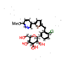 COc1ccc(-c2ccc(Cc3cc([C@@H]4O[C@H](CO)[C@@H](O)[C@H](O)[C@H]4O)ccc3Cl)s2)cn1